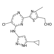 Cc1nc(-c2ncc(Cl)c(Nc3cc(C4CC4)[nH]n3)n2)sc1CC=O